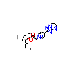 CC(C)(C)OC(=O)C[n+]1ccc(-c2nc3ncccn3n2)cc1